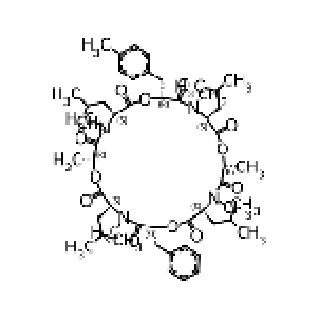 Cc1ccc(C[C@H]2OC(=O)[C@H](CC(C)C)N(C)C(=O)[C@@H](C)OC(=O)[C@H](CC(C)C)N(C)C(=O)[C@@H](Cc3ccccc3)OC(=O)[C@H](CC(C)C)N(C)C(=O)[C@@H](C)OC(=O)[C@H](CC(C)C)N(C)C2=O)cc1